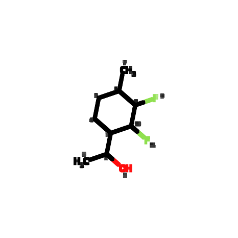 CC(O)C1CCC(C)C(F)C1F